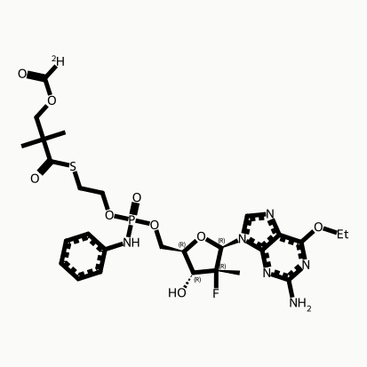 [2H]C(=O)OCC(C)(C)C(=O)SCCOP(=O)(Nc1ccccc1)OC[C@H]1O[C@@H](n2cnc3c(OCC)nc(N)nc32)[C@](C)(F)[C@@H]1O